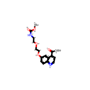 COC(=O)c1ccnc2ccc(OCCOCCNC(=O)OC(C)(C)C)cc12